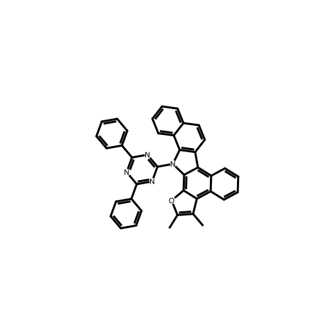 Cc1oc2c(c1C)c1ccccc1c1c3ccc4ccccc4c3n(-c3nc(-c4ccccc4)nc(-c4ccccc4)n3)c21